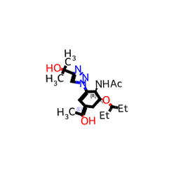 CCC(CC)O[C@@H]1C/C(=C(/C)O)C=C(n2cc(C(C)(C)O)nn2)[C@H]1NC(C)=O